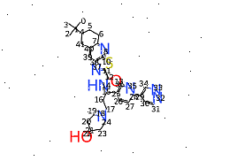 CC(C)(C)[C@H]1CCc2nc3sc(C(=O)NC(CCN4CCC(O)CC4)c4ccc(-c5ccnnc5)nc4)nc3cc2C1